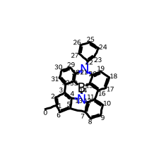 Cc1cc2c3c(c1)c1cccc4c1n3B1c3c-4cccc3N(c3ccccc3)c3cccc-2c31